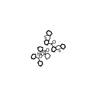 O=C(c1cccc2c1Cc1ccccc1S2)c1cccc2c1Cc1ccccc1S2.O=C(c1ccccc1)C1(O)CCCCC1.O=C(c1ccccc1)c1ccccc1